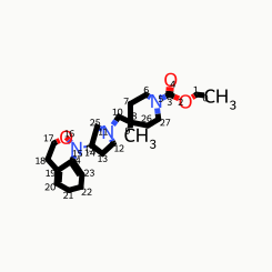 CCOC(=O)N1CCC(C)(CN2CC[C@H](N3OCCC4=CCCC=C43)C2)CC1